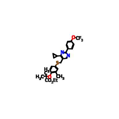 CCOC(=O)C(C)(C)Oc1ccc(SCc2cnc(-c3ccc(OC(F)(F)F)cc3)nc2C2CC2)cc1C